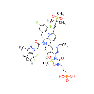 CC(C)(C#Cc1ccc(-c2ccc(Cl)c3c(N(C(=O)NCCCP(=O)(O)O)S(C)(=O)=O)nn(CC(F)(F)F)c23)c(C(Cc2cc(F)cc(F)c2)NC(=O)Cn2nc(C(F)(F)F)c3c2C(F)(F)[C@@H]2C[C@H]32)n1)S(C)(=O)=O